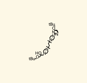 CC(C)(C)COC[C@@H](O)CN1CCN(C(C)(C)CCC(C)(C)N2CCN(c3nccc(OCC(C)(C)C)n3)CC2)CC1